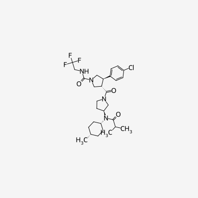 CC(C)C(=O)N([C@H]1CCN(C(=O)[C@@H]2CN(C(=O)NCC(F)(F)F)C[C@H]2c2ccc(Cl)cc2)C1)[C@H]1CC[C@@H](C)CC1